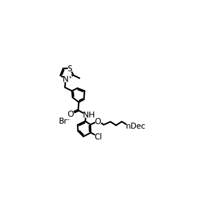 CCCCCCCCCCCCCCOc1c(Cl)cccc1NC(=O)c1cccc(C[n+]2ccsc2C)c1.[Br-]